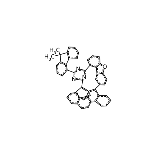 CC1(C)c2ccccc2-c2c(-c3nc(C4=CC=CCC4)nc(-c4cccc5oc6ccc(-c7cc8c9ccccc9ccc8c8ccccc78)cc6c45)n3)cccc21